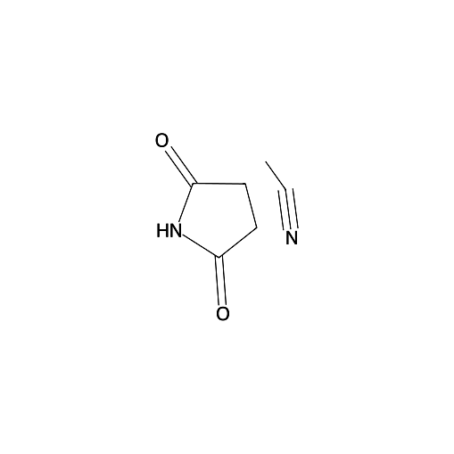 CC#N.O=C1CCC(=O)N1